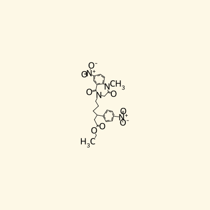 CCOC(=O)CC(CCCN1CC(=O)N(C)c2ccc([N+](=O)[O-])cc2C1=O)c1ccc([N+](=O)[O-])cc1